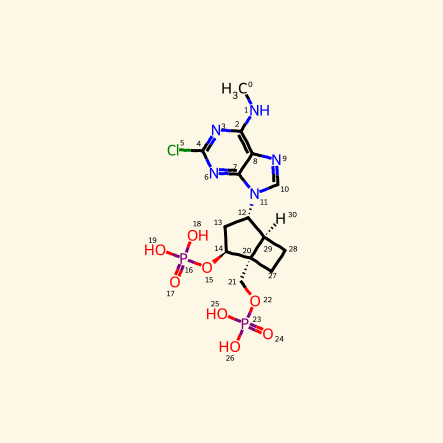 CNc1nc(Cl)nc2c1ncn2[C@H]1C[C@H](OP(=O)(O)O)[C@]2(COP(=O)(O)O)CC[C@H]12